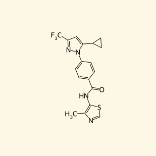 Cc1ncsc1NC(=O)c1ccc(-n2nc(C(F)(F)F)cc2C2CC2)cc1